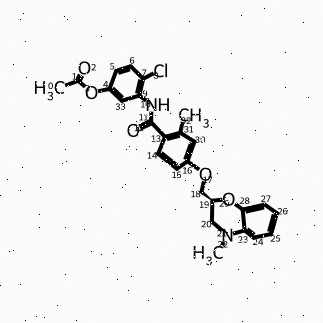 CC(=O)Oc1ccc(Cl)c(NC(=O)c2ccc(OC[C@@H]3CN(C)c4ccccc4O3)cc2C)c1